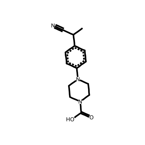 CC(C#N)c1ccc(N2CCN(C(=O)O)CC2)cc1